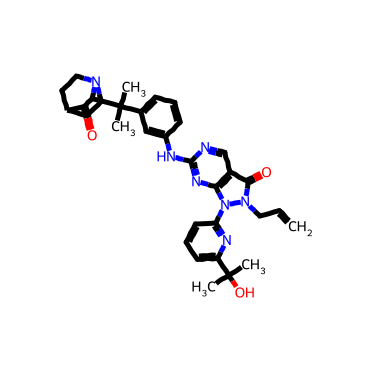 C=CCn1c(=O)c2cnc(Nc3cccc(C(C)(C)C4C(=O)C5CCN4CC5)c3)nc2n1-c1cccc(C(C)(C)O)n1